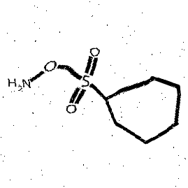 NOS(=O)(=O)C1CCCCC1